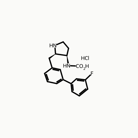 Cl.O=C(O)N[C@@H]1CCN[C@@H]1Cc1cccc(-c2cccc(F)c2)c1